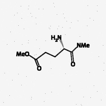 CNC(=O)[C@@H](N)CCC(=O)OC